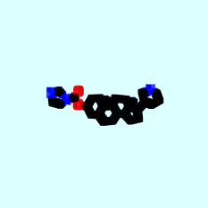 CC12CCC(OC(=O)n3ccnc3)CC1=CCC1C2CCC2(C)C(c3cccnc3)=CCC12